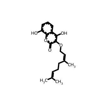 CC(C)=CCCC(C)=CCOc1c(O)c2cccc(O)c2oc1=O